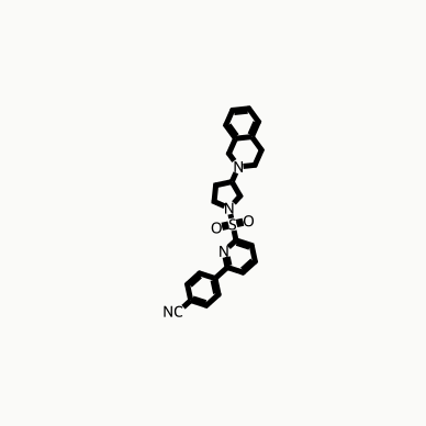 N#Cc1ccc(-c2cccc(S(=O)(=O)N3CCC(N4CCc5ccccc5C4)C3)n2)cc1